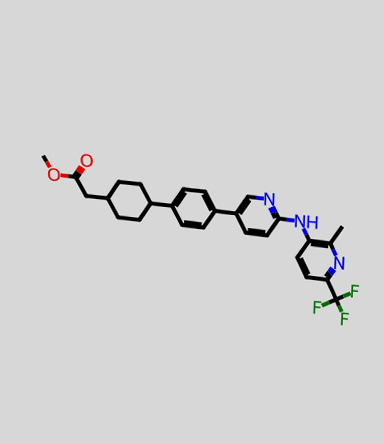 COC(=O)CC1CCC(c2ccc(-c3ccc(Nc4ccc(C(F)(F)F)nc4C)nc3)cc2)CC1